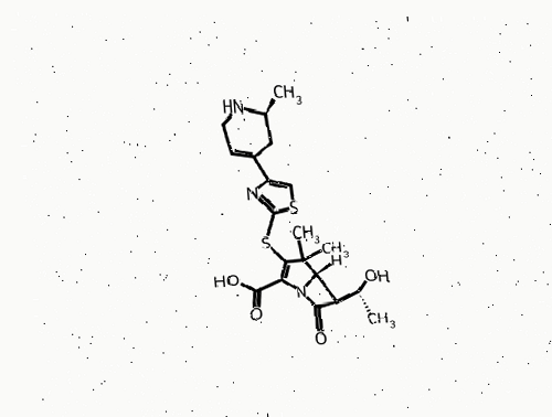 C[C@H]1CC(c2csc(SC3=C(C(=O)O)N4C(=O)[C@H]([C@@H](C)O)[C@H]4C3(C)C)n2)=CCN1